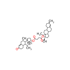 C#CC1(OC(=O)CCC(=O)OC2CCC3C4C(C)CC5=CC(=O)CCC5C4C(C)CC23C)CCC2C3CCC4=CC(=C)CCC4C3CCC21CC